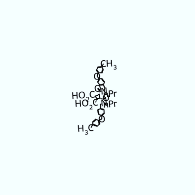 CCCN(Cc1ccc(Oc2ccc(C)cc2)cc1)C(=O)[C@H]1[C@@H](C(=O)O)[C@H](C(=O)O)[C@@H]1C(=O)N(CCC)Cc1ccc(Oc2ccc(C)cc2)cc1